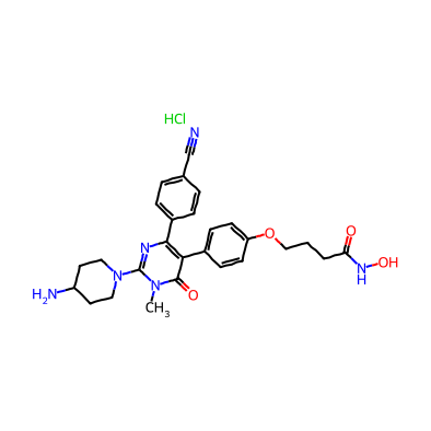 Cl.Cn1c(N2CCC(N)CC2)nc(-c2ccc(C#N)cc2)c(-c2ccc(OCCCC(=O)NO)cc2)c1=O